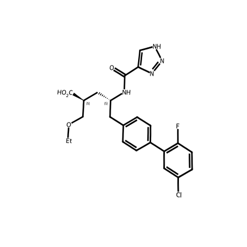 CCOC[C@H](C[C@@H](Cc1ccc(-c2cc(Cl)ccc2F)cc1)NC(=O)c1c[nH]nn1)C(=O)O